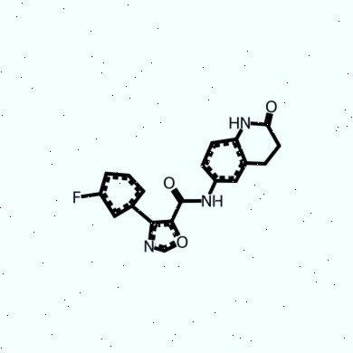 O=C1CCc2cc(NC(=O)c3ocnc3-c3cccc(F)c3)ccc2N1